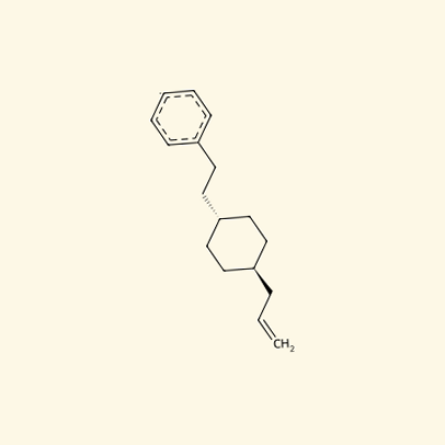 C=CC[C@H]1CC[C@H](CCc2cc[c]cc2)CC1